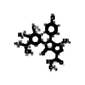 CNC(=O)c1cn(C)c2c1C(=O)N(c1cc(C)c(N)c(N(C)N)c1)C2c1ccc(Cl)cc1